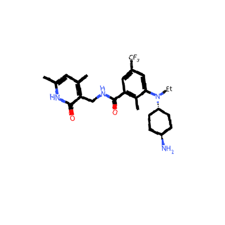 CCN(c1cc(C(F)(F)F)cc(C(=O)NCc2c(C)cc(C)[nH]c2=O)c1C)[C@H]1CC[C@H](N)CC1